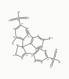 Cc1cc(F)ccc1C1(c2ccc(S(C)(=O)=O)cc2C)CSC=C1c1ccc(S(C)(=O)=O)cc1